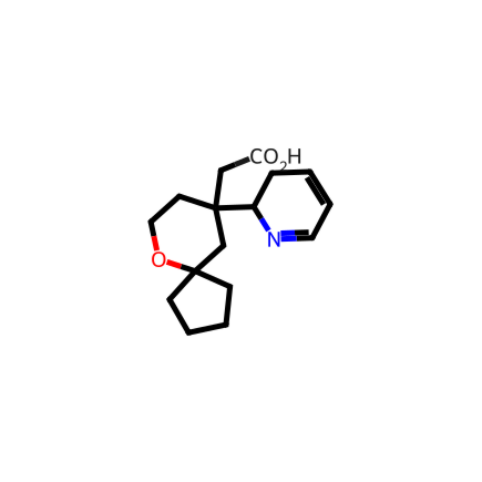 O=C(O)CC1(C2CC=CC=N2)CCOC2(CCCC2)C1